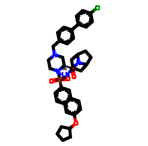 NC1CC2CCC(C1)N2C(=O)[C@H]1CN(Cc2ccc(-c3ccc(Cl)cc3)cc2)CCN1S(=O)(=O)c1ccc2cc(OC3CCCC3)ccc2c1